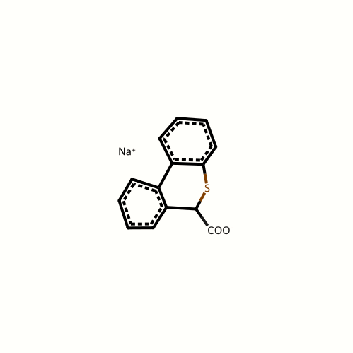 O=C([O-])C1Sc2ccccc2-c2ccccc21.[Na+]